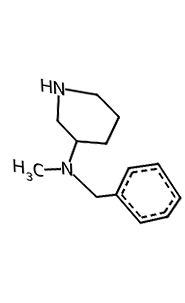 CN(Cc1ccccc1)C1CCCNC1